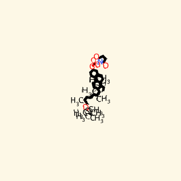 C[C@H](CCC[C@@H](C)[C@H]1CC[C@H]2[C@@H]3CC=C4C[C@@H](OC(=O)ON5C(=O)CCC5=O)CC[C@]4(C)[C@H]3CC[C@]12C)CO[Si](C)(C)C(C)(C)C